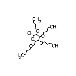 CCCCOCC1O[C@H](Cl)[C@H](OCCCC)C(OCCCC)[C@@H]1OCCCC